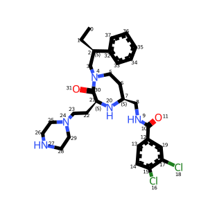 CC[C@H](CN1CC[C@@H](CNC(=O)c2ccc(Cl)c(Cl)c2)N[C@@H](CCN2CCNCC2)C1=O)c1ccccc1